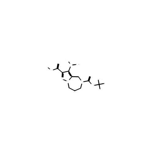 COC(=O)c1nn2c(c1B(O)O)CN(C(=O)OC(C)(C)C)CCC2